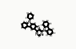 c1ccc(-n2c3ccccc3c3cc4c(cc32)sc2c(-n3c5ccccc5c5ccccc53)ncnc24)cc1